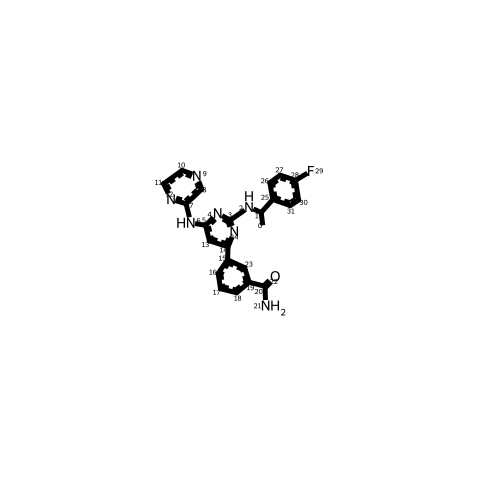 CC(Nc1nc(Nc2cnccn2)cc(-c2cccc(C(N)=O)c2)n1)c1ccc(F)cc1